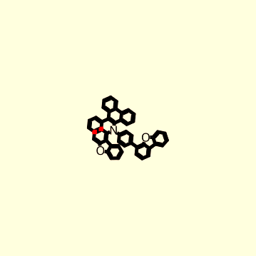 c1ccc(-c2c(N(c3ccc(-c4cccc5c4oc4ccccc45)cc3)c3cccc4oc5ccccc5c34)c3ccccc3c3ccccc23)cc1